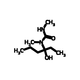 CCCC(O)(CC)N(C)C(=O)NC